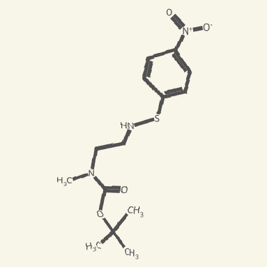 CN(CCNSc1ccc([N+](=O)[O-])cc1)C(=O)OC(C)(C)C